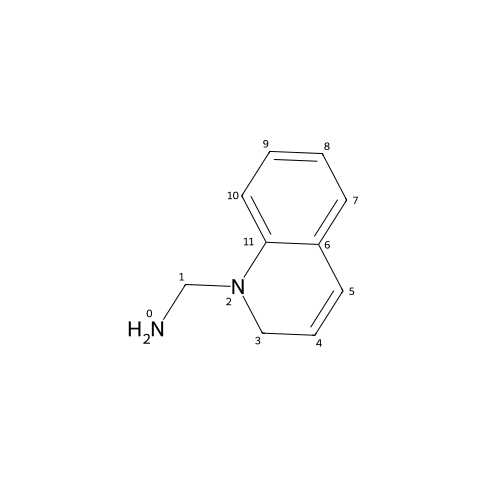 NCN1CC=Cc2ccccc21